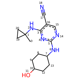 CC1(Nc2nc(NC3CCC(O)CC3)ncc2C#N)CC1